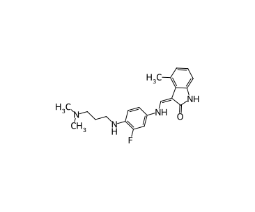 Cc1cccc2c1C(=CNc1ccc(NCCCN(C)C)c(F)c1)C(=O)N2